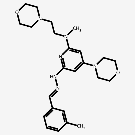 Cc1cccc(C=NNc2cc(N3CCOCC3)cc(N(C)CCN3CCOCC3)n2)c1